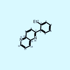 CCc1ccccc1-c1ccc2ncccc2n1